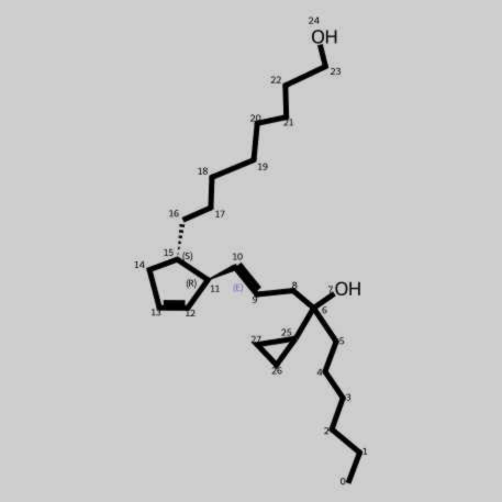 CCCCCCC(O)(C/C=C/[C@H]1C=CC[C@@H]1CCCCCCCCO)C1CC1